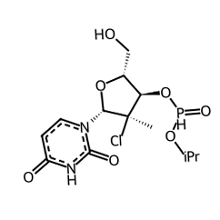 CC(C)O[PH](=O)O[C@@H]1[C@@H](CO)O[C@@H](n2ccc(=O)[nH]c2=O)[C@]1(C)Cl